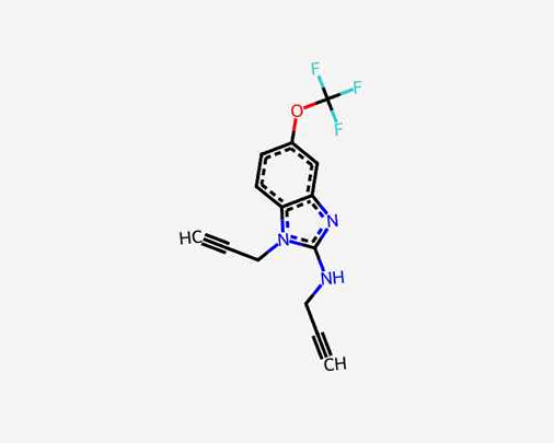 C#CCNc1nc2cc(OC(F)(F)F)ccc2n1CC#C